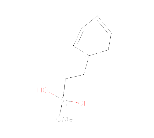 CO[Si](O)(O)CCC1C=CC=CC1